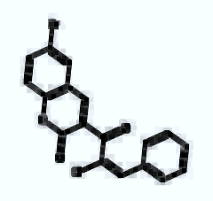 O=C(/C(Cl)=C\c1ccccc1)c1cc2cc(Br)ccc2oc1=O